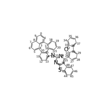 c1cc2c3c(cccc3c1)-c1cccc3c1c1c-2cccc1n3-c1nc(-c2cccc3c2oc2ccccc23)c2c(n1)sc1ccccc12